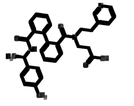 Cc1ccc([C@@H](C)NC(=O)c2ccccc2-c2ccccc2C(=O)N(CCC(=O)O)CCc2cccnc2)cc1